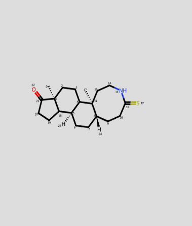 C[C@]12CCC3[C@@H](CC[C@H]4CCC(=S)NCC[C@]34C)C1CCC2=O